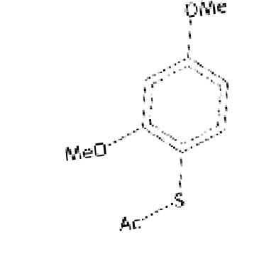 COc1ccc(SC(C)=O)c(OC)c1